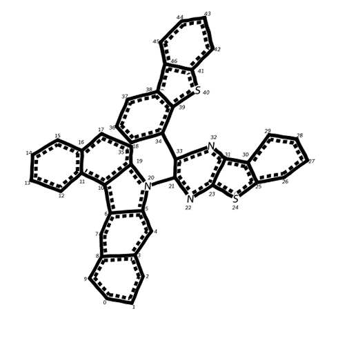 c1ccc2cc3c(cc2c1)c1c2ccccc2ccc1n3-c1nc2sc3ccccc3c2nc1-c1cccc2c1sc1ccccc12